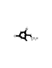 Cc1cc(Cl)cc(Br)c1CC(=O)O